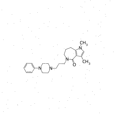 Cc1cn(C)c2c1C(=O)N(CCCN1CCN(c3ccccc3)CC1)CCC2